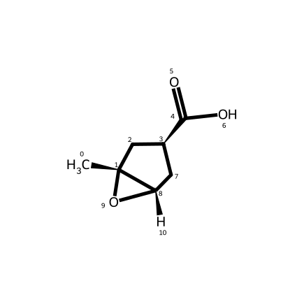 C[C@@]12C[C@@H](C(=O)O)C[C@@H]1O2